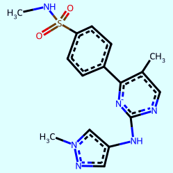 CNS(=O)(=O)c1ccc(-c2nc(Nc3cnn(C)c3)ncc2C)cc1